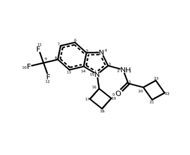 O=C(Nc1nc2ccc(C(F)(F)F)cc2n1C1CCC1)C1CCC1